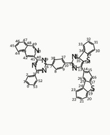 c1ccc(-c2nc(-c3ccc(-c4nc(-c5ccc6sc7ccccc7c6c5)c5sc6ccccc6c5n4)cc3)nc(-c3cc4ccccc4cn3)n2)cc1